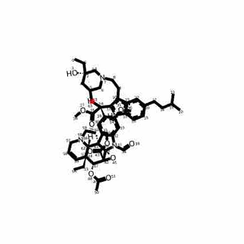 CC[C@]1(O)C[C@H]2CN(CCc3c([nH]c4ccc(CCC(C)C)cc34)[C@@](C(=O)OC)(c3cc4c(cc3OC)N(C=O)[C@@]35O[C@]3(C(=O)OC)[C@H](OC(C)=O)[C@]3(CC)C=CCN6CC[C@]45[C@@H]63)C2)C1